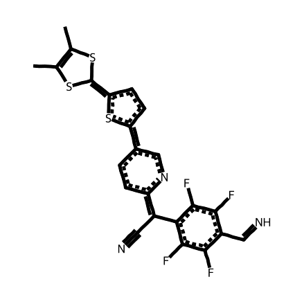 CC1=C(C)SC(=c2cc/c(=c3/cc/c(=C(\C#N)c4c(F)c(F)c(C=N)c(F)c4F)nc3)s2)S1